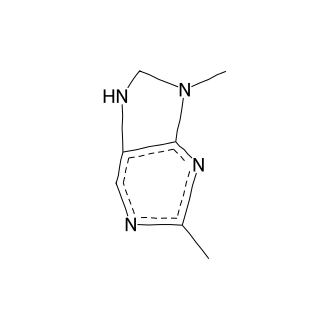 Cc1ncc2c(n1)N(C)CN2